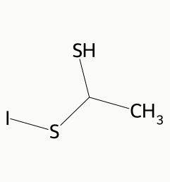 CC(S)SI